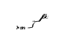 CCC(C)COCNC(C)=O